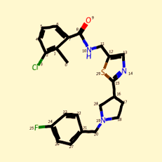 Cc1c(Cl)cccc1C(=O)NCc1cnc(C2CCN(Cc3ccc(F)cc3)C2)s1